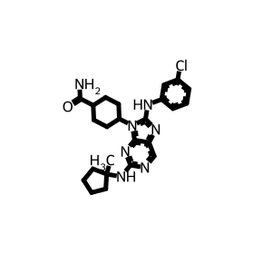 CC1(Nc2ncc3nc(Nc4cccc(Cl)c4)n(C4CCC(C(N)=O)CC4)c3n2)CCCC1